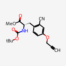 C#CCOc1ccc(C[C@H](NC(=O)OC(C)(C)C)C(=O)OC)c(C#N)c1